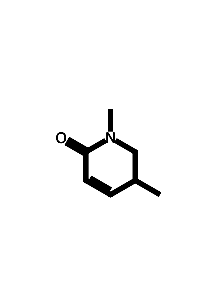 CC1C=CC(=O)N(C)C1